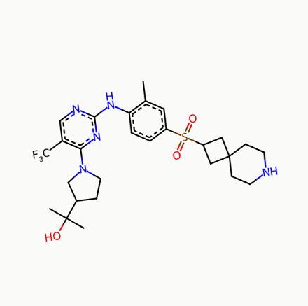 Cc1cc(S(=O)(=O)C2CC3(CCNCC3)C2)ccc1Nc1ncc(C(F)(F)F)c(N2CCC(C(C)(C)O)C2)n1